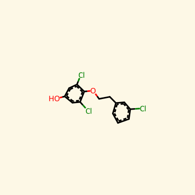 Oc1cc(Cl)c(OCCc2cccc(Cl)c2)c(Cl)c1